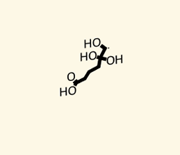 O=C(O)CCCC(O)(O)[CH]O